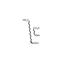 CCCCCCCC/C=C\CCCCCCCCCCCC(=O)O.CCCCCCCCCCCCCC(=O)O